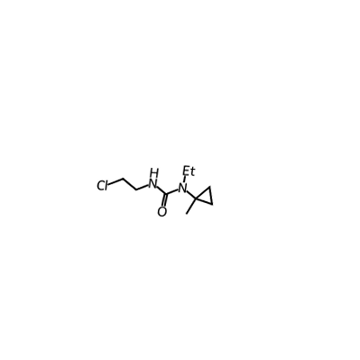 CCN(C(=O)NCCCl)C1(C)CC1